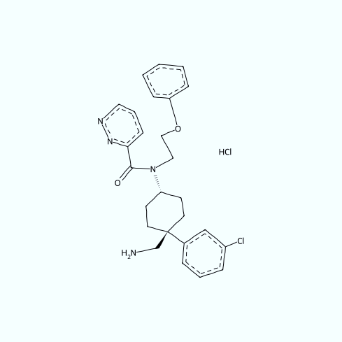 Cl.NC[C@]1(c2cccc(Cl)c2)CC[C@@H](N(CCOc2ccccc2)C(=O)c2cccnn2)CC1